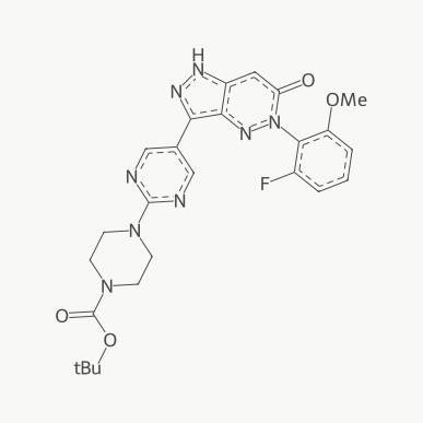 COc1cccc(F)c1-n1nc2c(-c3cnc(N4CCN(C(=O)OC(C)(C)C)CC4)nc3)n[nH]c2cc1=O